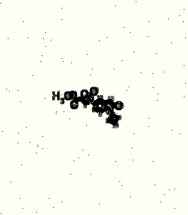 COC(=O)C1CN(c2ccc3c(c2)CC(=O)N3C2CCC2)C(=O)O1